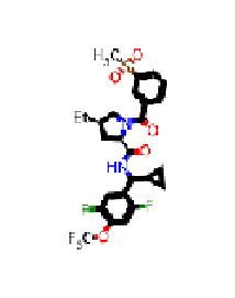 CC[C@@H]1C[C@H](C(=O)NC(c2cc(F)c(OC(F)(F)F)cc2F)C2CC2)N(C(=O)c2cccc(S(C)(=O)=O)c2)C1